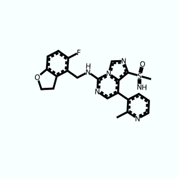 Cc1ncccc1-c1cnc(NCc2c(F)ccc3c2CCO3)n2cnc(S(C)(=N)=O)c12